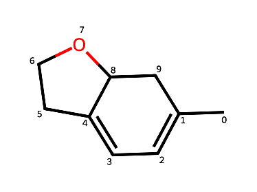 CC1=CC=C2CCOC2C1